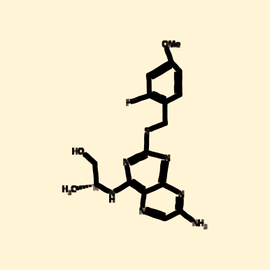 COc1ccc(CSc2nc(N[C@H](C)CO)c3ncc(N)nc3n2)c(F)c1